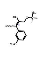 CO/C(=C(/CO[Si](C)(C)C(C)(C)C)C(C)(C)C)c1cccc(OC)c1